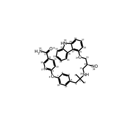 CC(C)(Cc1ccc(Oc2ccc(C(N)=O)cn2)cc1)NC[C@@H](COc1cccc2[nH]c3ccccc3c12)N=O